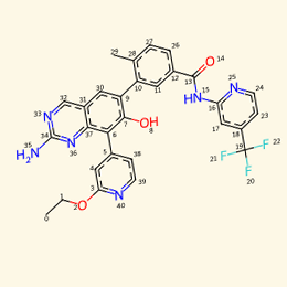 CCOc1cc(-c2c(O)c(-c3cc(C(=O)Nc4cc(C(F)(F)F)ccn4)ccc3C)cc3cnc(N)nc23)ccn1